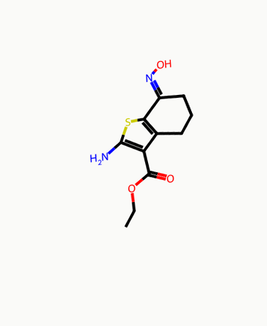 CCOC(=O)c1c(N)sc2c1CCCC2=NO